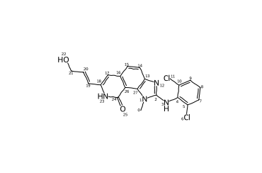 Cn1c(Nc2c(Cl)cccc2Cl)nc2ccc3cc(C=CCO)[nH]c(=O)c3c21